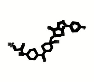 C=CC(=O)N[C@H]1CC[C@@H](C(=O)N2CCC(O)(Cn3cnc4c(cnn4-c4ccc(F)cc4)c3=O)CC2)CC1